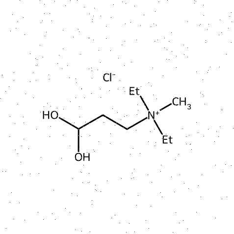 CC[N+](C)(CC)CCC(O)O.[Cl-]